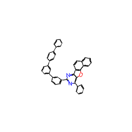 c1ccc(-c2ccc(-c3cccc(-c4cccc(-c5nc(-c6ccccc6)c6oc7c8ccccc8ccc7c6n5)c4)c3)cc2)cc1